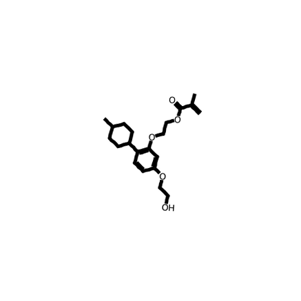 C=C(C)C(=O)OCCOc1cc(OCCO)ccc1C1CCC(C)CC1